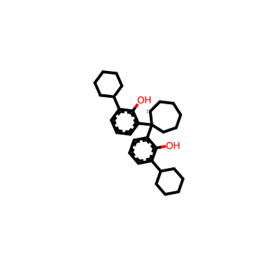 Oc1c(C2CCCCC2)cccc1C1(c2cccc(C3CCCCC3)c2O)[C]CCCCC1